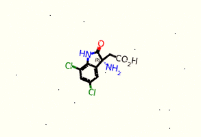 N[C@@]1(CC(=O)O)C(=O)Nc2c(Cl)cc(Cl)cc21